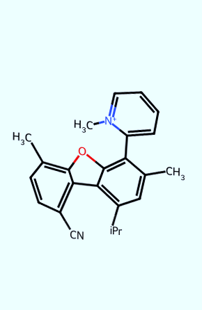 Cc1cc(C(C)C)c2c(oc3c(C)ccc(C#N)c32)c1-c1cccc[n+]1C